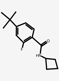 CC(C)(C)c1ccc(C(=O)NC2CCC2)c(F)c1